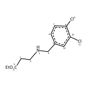 CCOC(=O)CCNCc1ccc(Cl)c(Cl)c1